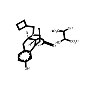 C[C@H]1CC(=O)C[C@]23CCN(CC4CCC4)[C@H](Cc4ccc(O)cc42)[C@H]13.O=C(O)C(O)C(O)C(=O)O